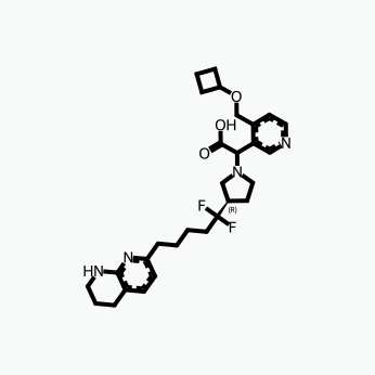 O=C(O)C(c1cnccc1COC1CCC1)N1CC[C@@H](C(F)(F)CCCCc2ccc3c(n2)NCCC3)C1